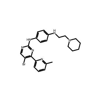 Cc1cccc(-c2nc(Nc3ccc(NCCN4CCCCC4)cc3)ncc2Br)n1